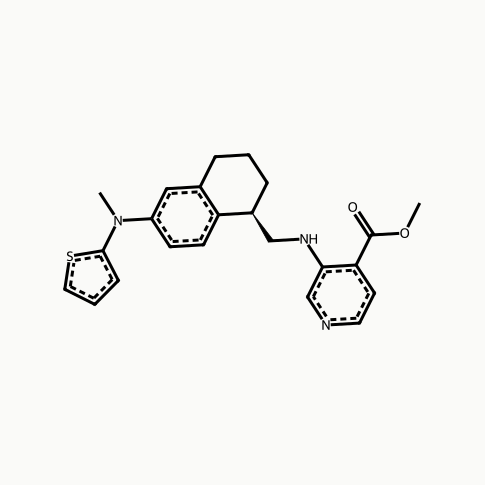 COC(=O)c1ccncc1NC[C@@H]1CCCc2cc(N(C)c3cccs3)ccc21